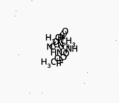 CC(F)Oc1c(F)cccc1Nc1c(-c2ccncc2OCC(C)(C)N2CCOCC2)[nH]c2c1C(=O)NCC2